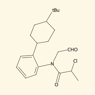 CC(Cl)C(=O)N(CC=O)c1ccccc1C1CCC(C(C)(C)C)CC1